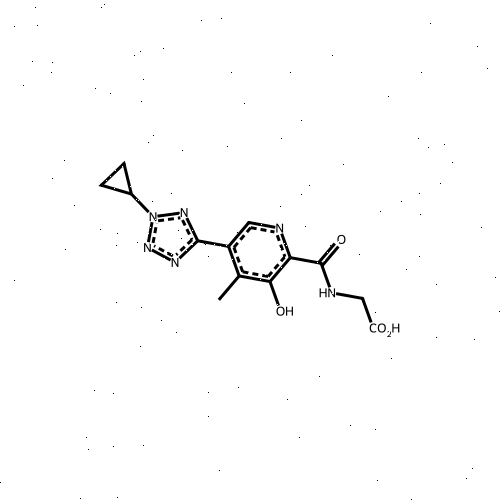 Cc1c(-c2nnn(C3CC3)n2)cnc(C(=O)NCC(=O)O)c1O